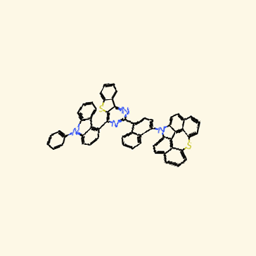 c1ccc(-n2c3ccccc3c3c(-c4nc(-c5ccc(-n6c7ccc8cccc9sc%10cccc%11ccc6c(c%11%10)c7c89)c6ccccc56)nc5c4sc4ccccc45)cccc32)cc1